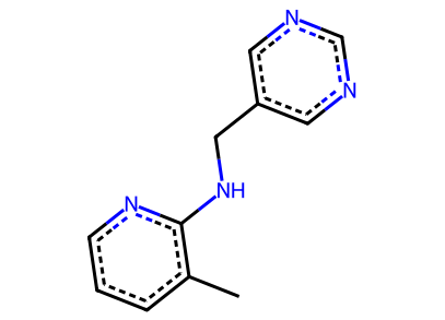 Cc1cccnc1NCc1cncnc1